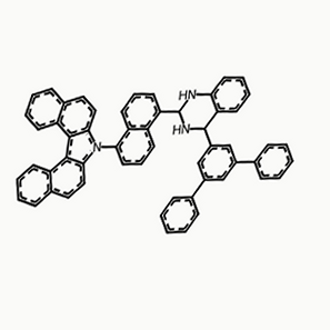 c1ccc(-c2cc(-c3ccccc3)cc(C3NC(c4cccc5c(-n6c7ccc8ccccc8c7c7c8ccccc8ccc76)cccc45)Nc4ccccc43)c2)cc1